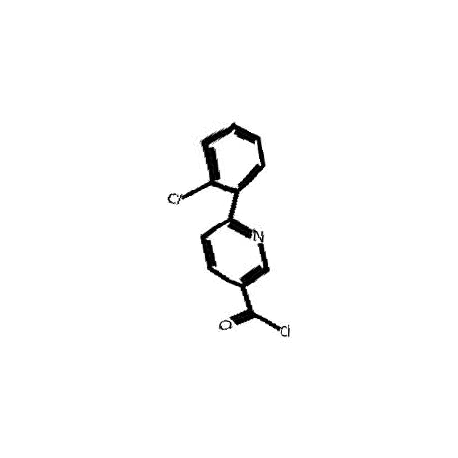 O=C(Cl)c1ccc(-c2ccccc2Cl)nc1